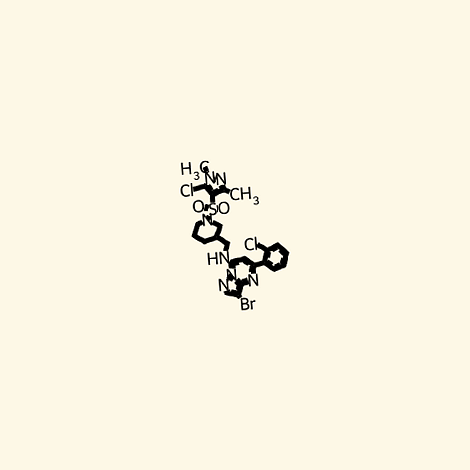 Cc1nn(C)c(Cl)c1S(=O)(=O)N1CCCC(CNc2cc(-c3ccccc3Cl)nc3c(Br)cnn23)C1